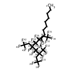 CCCCCCCCC[O][Sn]([C](F)(F)C(F)(F)CC(F)(F)F)([C](F)(F)C(F)(F)CC(F)(F)F)[C](F)(F)C(F)(F)CC(F)(F)F